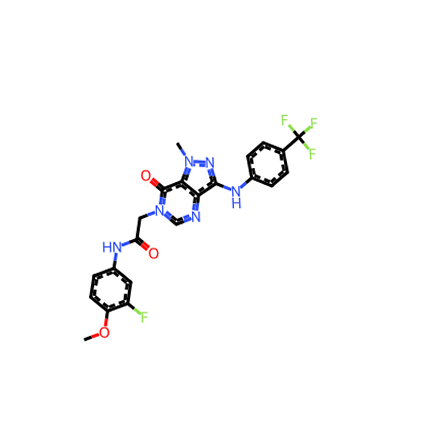 COc1ccc(NC(=O)Cn2cnc3c(Nc4ccc(C(F)(F)F)cc4)nn(C)c3c2=O)cc1F